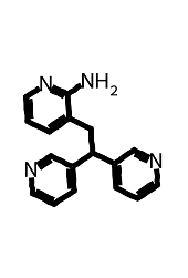 Nc1ncccc1CC(c1cccnc1)c1cccnc1